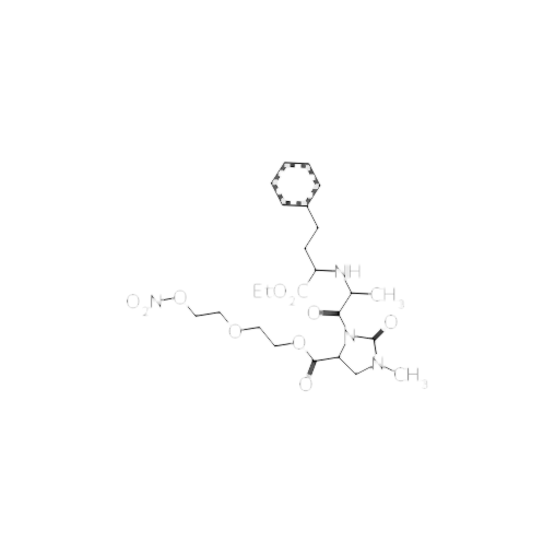 CCOC(=O)C(CCc1ccccc1)NC(C)C(=O)N1C(=O)N(C)CC1C(=O)OCCOCCO[N+](=O)[O-]